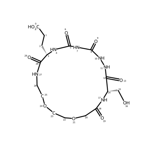 O=C(O)CC[C@@H]1NC(=O)NC(=O)NNC(=O)[C@H](CO)NC(=O)COCCOCCNC1=O